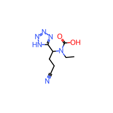 CCN(C(=O)O)C(CCC#N)c1nnn[nH]1